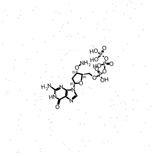 NO[C@H]1C[C@H](n2cnc3c(=O)[nH]c(N)nc32)O[C@@H]1COP(=O)(O)OP(=O)(O)OP(=O)(O)O